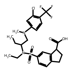 CCC(CN(C)c1ccc(C(F)(F)F)c(Cl)c1)N(CC)S(=O)(=O)c1ccc2c(c1)C(C(=O)O)CC2